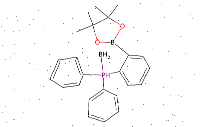 B[PH](c1ccccc1)(c1ccccc1)c1ccccc1B1OC(C)(C)C(C)(C)O1